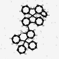 c1ccc(C2(c3ccccc3)c3ccccc3Oc3c(-c4cccc5c4-c4ccccc4C54c5ccccc5-c5ccc6ccccc6c54)cccc32)cc1